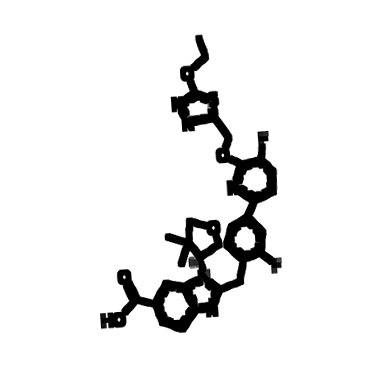 CCOc1nnc(COc2nc(-c3ccc(Cc4nc5ccc(C(=O)O)cc5n4[C@@H]4COCC4(C)C)c(F)c3)ccc2F)s1